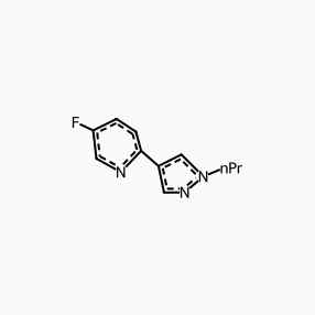 CCCn1cc(-c2ccc(F)cn2)cn1